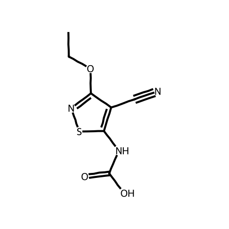 CCOc1nsc(NC(=O)O)c1C#N